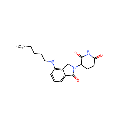 O=C1CCC(N2Cc3c(NCCCCS(=O)(=O)O)cccc3C2=O)C(=O)N1